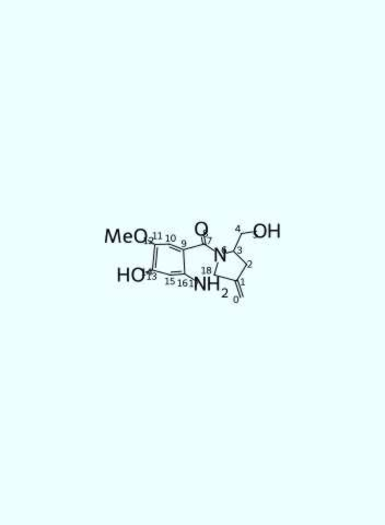 C=C1CC(CO)N(C(=O)c2cc(OC)c(O)cc2N)C1